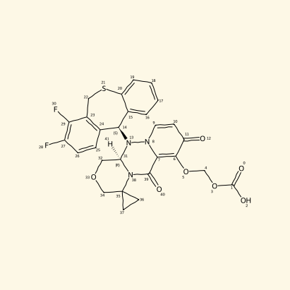 O=C(O)OCOc1c2n(ccc1=O)N([C@@H]1c3ccccc3SCc3c1ccc(F)c3F)[C@@H]1COCC3(CC3)N1C2=O